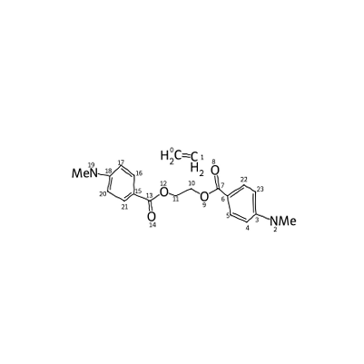 C=C.CNc1ccc(C(=O)OCCOC(=O)c2ccc(NC)cc2)cc1